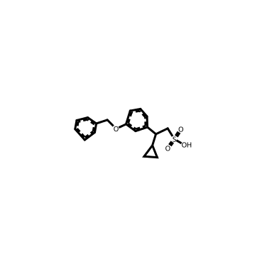 O=S(=O)(O)CC(c1cccc(OCc2ccccc2)c1)C1CC1